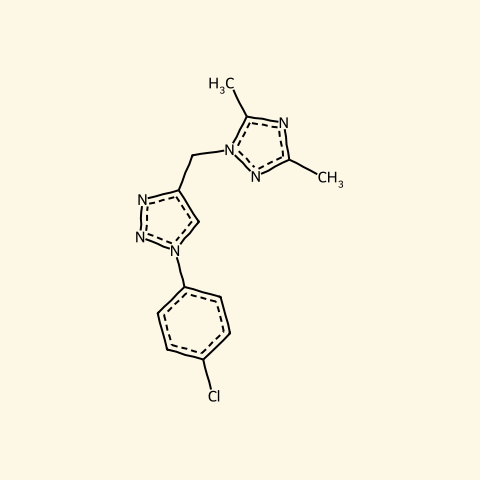 Cc1nc(C)n(Cc2cn(-c3ccc(Cl)cc3)nn2)n1